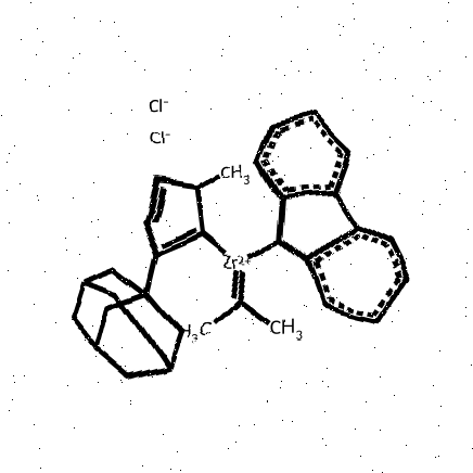 C[C](C)=[Zr+2]([C]1=C(C23CC4CC(CC(C4)C2)C3)C=CC1C)[CH]1c2ccccc2-c2ccccc21.[Cl-].[Cl-]